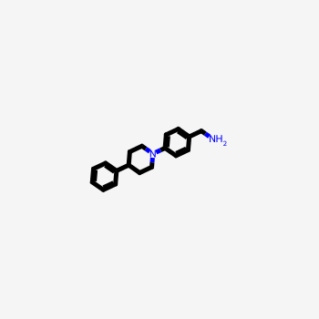 NCc1ccc(N2CCC(c3ccccc3)CC2)cc1